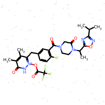 Cc1c(C)c(=O)[nH][n+](OC(=O)C(F)(F)F)c1Cc1ccc(F)c(C(=O)N2CCN(C(C)c3nc(C(C)C)no3)C(=O)C2)c1